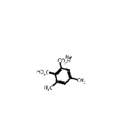 Cc1cc(C)c(C(=O)O)c(C(=O)O)c1.[Na]